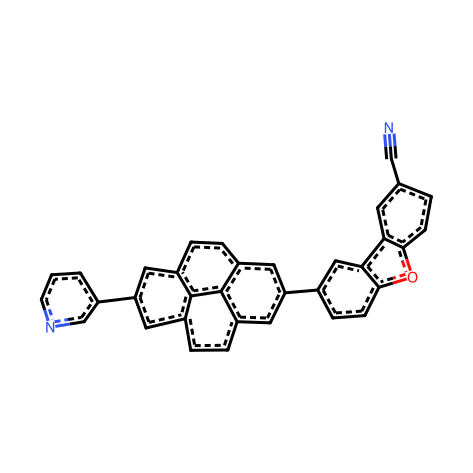 N#Cc1ccc2oc3ccc(-c4cc5ccc6cc(-c7cccnc7)cc7ccc(c4)c5c67)cc3c2c1